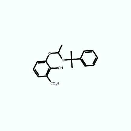 CC(Oc1cccc(C(=O)O)c1O)OC(C)(C)c1ccccc1